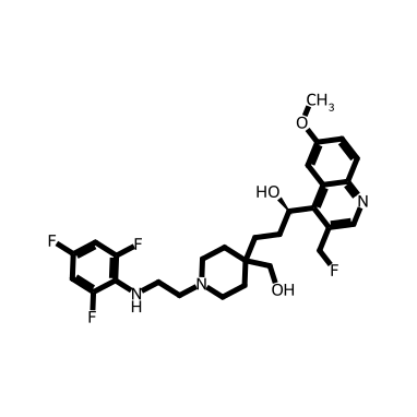 COc1ccc2ncc(CF)c([C@H](O)CCC3(CO)CCN(CCNc4c(F)cc(F)cc4F)CC3)c2c1